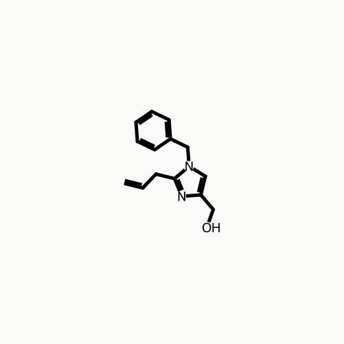 C=CCc1nc(CO)cn1Cc1ccccc1